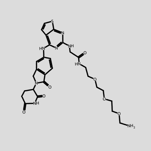 NCOCCOCCOCCNC(=O)CNc1nc(Nc2ccc3c(c2)CN(C2CCC(=O)NC2=O)C3=O)c2ccsc2n1